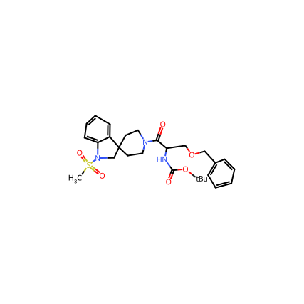 CC(C)(C)OC(=O)NC(COCc1ccccc1)C(=O)N1CCC2(CC1)CN(S(C)(=O)=O)c1ccccc12